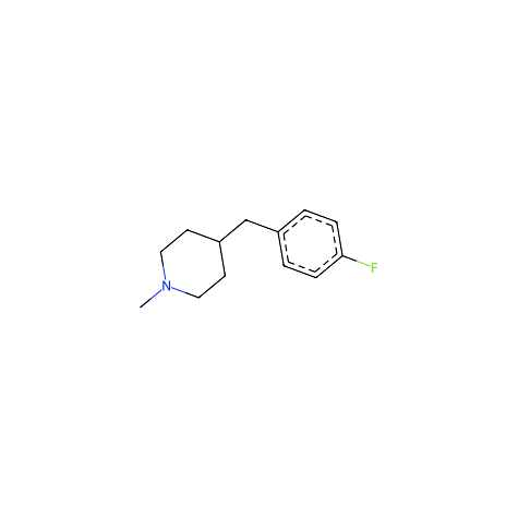 CN1CCC(Cc2ccc(F)cc2)CC1